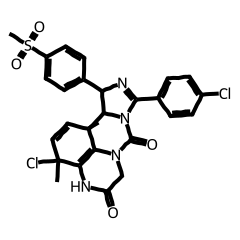 CC1(Cl)C=CC2(C)C3=C1NC(=O)CN3C(=O)N1C(c3ccc(Cl)cc3)=NC(c3ccc(S(C)(=O)=O)cc3)C12